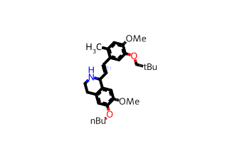 CCCCOc1cc2c(cc1OC)C(/C=C/c1cc(OCC(C)(C)C)c(OC)cc1C)NCC2